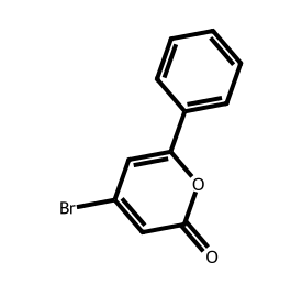 O=c1cc(Br)cc(-c2ccccc2)o1